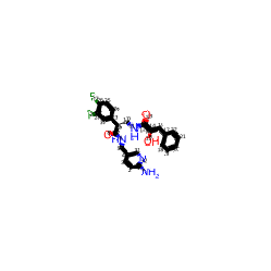 Nc1ccc(CNC(=O)[C@@H](CNC(=O)[C@H](O)Cc2ccccc2)c2ccc(F)c(F)c2)cn1